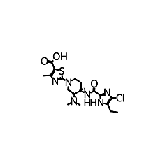 CCc1[nH]c(C(=O)N[C@@H]2CCN(c3nc(C)c(C(=O)O)s3)C[C@@H]2N(C)C)nc1Cl